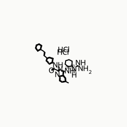 Cc1ccc2nc(C(=O)Nc3ccc(C=Cc4ccccc4)cc3)nc(N[C@H]3CCCC[C@H]3NC(=N)N)c2c1.Cl.Cl